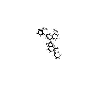 Cc1nocc1C(=O)NC(c1nc2c(F)c(C3CCOCC3)ccc2[nH]1)C1CCCC(C)C1